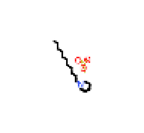 CCCCCCCCCCC[n+]1ccccc1.O=[SH](=O)[O-]